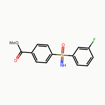 COC(=O)c1ccc(S(=N)(=O)c2cccc(F)c2)cc1